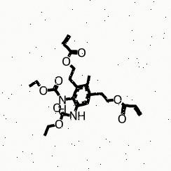 C=CC(=O)OCCc1cc(NC(=O)OCC)c(NC(=O)OCC)c(CCOC(=O)C=C)c1C